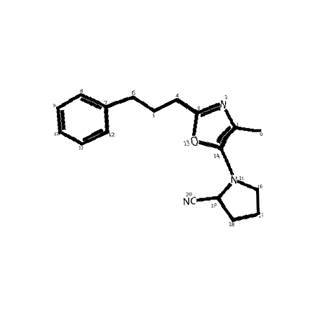 Cc1nc(CCCc2ccccc2)oc1N1CCCC1C#N